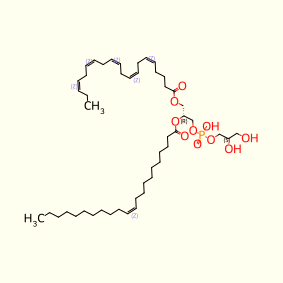 CC/C=C\C/C=C\C/C=C\C/C=C\C/C=C\CCCC(=O)OC[C@H](COP(=O)(O)OC[C@@H](O)CO)OC(=O)CCCCCCCCC/C=C\CCCCCCCCCC